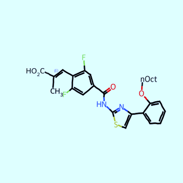 CCCCCCCCOc1ccccc1-c1csc(NC(=O)c2cc(F)c(/C=C(\C)C(=O)O)c(F)c2)n1